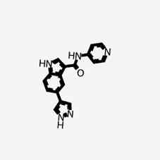 O=C(Nc1ccncc1)c1c[nH]c2ccc(-c3cn[nH]c3)cc12